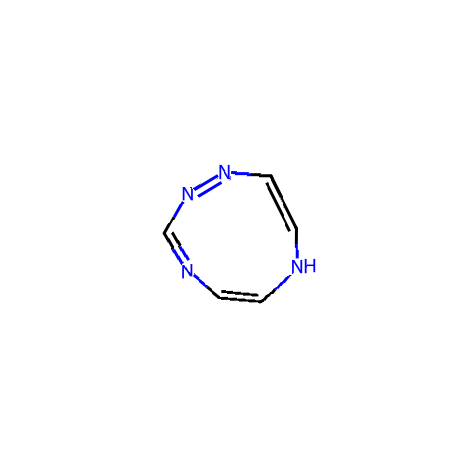 c1c[nH]ccnncn1